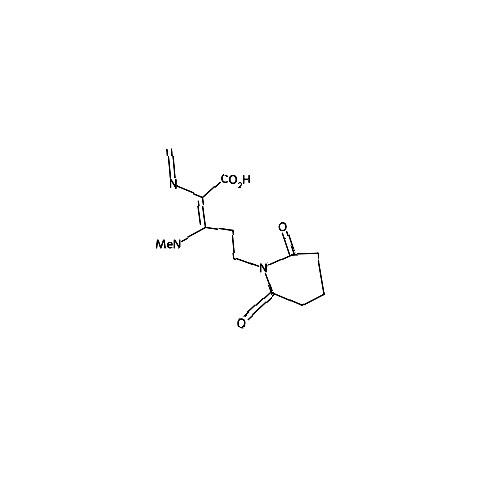 C=N/C(C(=O)O)=C(/CCN1C(=O)CCCC1=O)NC